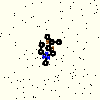 c1ccc(-c2cccc(-c3nc(-c4ccccc4)nc(-c4cccc5sc6c(-c7cc(-c8ccccc8)cc8c7sc7ccccc78)cccc6c45)n3)c2)cc1